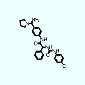 N=C(c1ccc(NC(=O)C(NC(=O)Nc2ccc(Cl)cc2)c2ccccc2)cc1)N1CCCC1